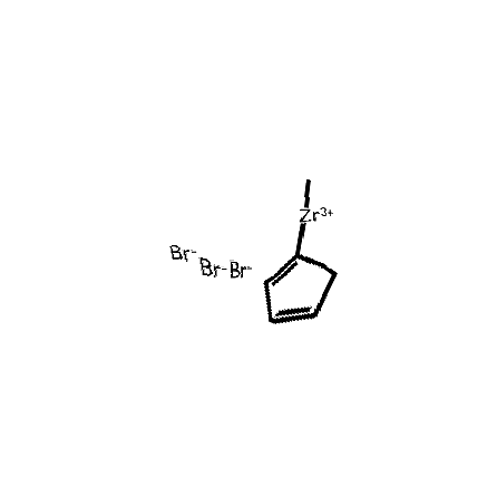 [Br-].[Br-].[Br-].[CH3][Zr+3][C]1=CC=CC1